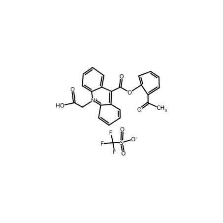 CC(=O)c1ccccc1OC(=O)c1c2ccccc2[n+](CC(=O)O)c2ccccc12.O=S(=O)([O-])C(F)(F)F